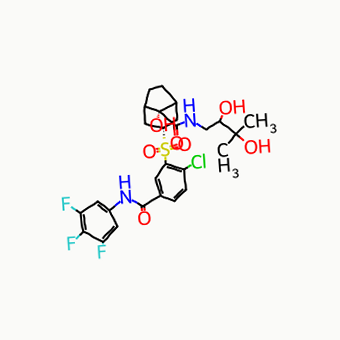 CC(C)(O)C(O)CNC(=O)[C@]1(O)C2CCC1C[C@@H](S(=O)(=O)c1cc(C(=O)Nc3cc(F)c(F)c(F)c3)ccc1Cl)C2